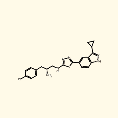 N[C@H](CNc1nnc(-c2ccc3[nH]nc(C4CC4)c3c2)s1)Cc1ccc(Cl)cc1